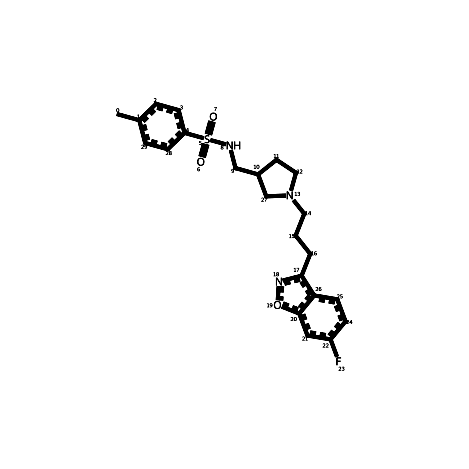 Cc1ccc(S(=O)(=O)NCC2CCN(CCCc3noc4cc(F)ccc34)C2)cc1